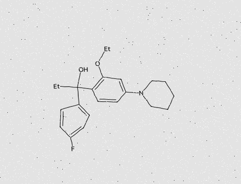 CCOc1cc(N2CCCCC2)ccc1C(O)(CC)c1ccc(F)cc1